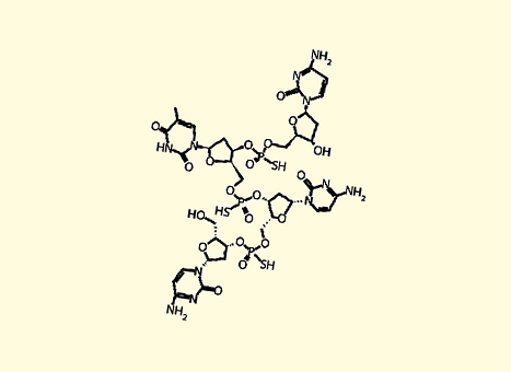 Cc1cn([C@H]2C[C@@H](OP(=O)(S)OC[C@H]3O[C@@H](n4ccc(N)nc4=O)C[C@H]3O)[C@@H](COP(=O)(S)O[C@@H]3C[C@H](n4ccc(N)nc4=O)O[C@@H]3COP(=O)(S)O[C@@H]3C[C@H](n4ccc(N)nc4=O)O[C@@H]3CO)O2)c(=O)[nH]c1=O